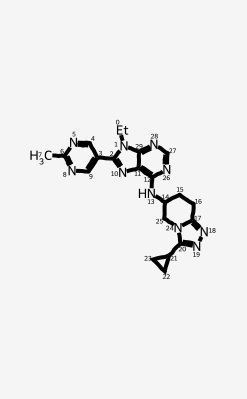 CCn1c(-c2cnc(C)nc2)nc2c(NC3CCc4nnc(C5CC5)n4C3)ncnc21